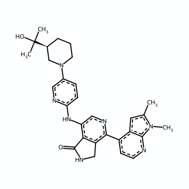 Cc1cc2c(-c3ncc(Nc4ccc(N5CCC[C@H](C(C)(C)O)C5)cn4)c4c3CNC4=O)ccnc2n1C